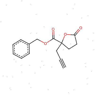 C#CCC1(C(=O)OCc2ccccc2)CCC(=O)O1